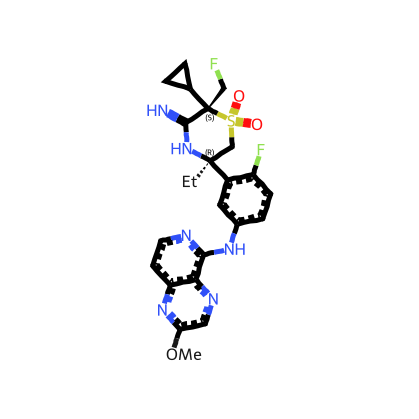 CC[C@@]1(c2cc(Nc3nccc4nc(OC)cnc34)ccc2F)CS(=O)(=O)[C@@](CF)(C2CC2)C(=N)N1